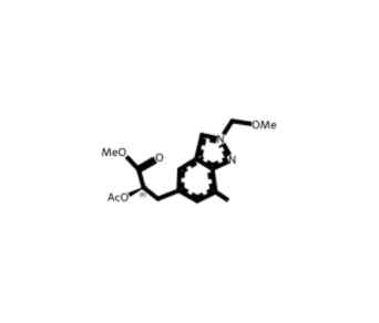 COCn1cc2cc(C[C@@H](OC(C)=O)C(=O)OC)cc(C)c2n1